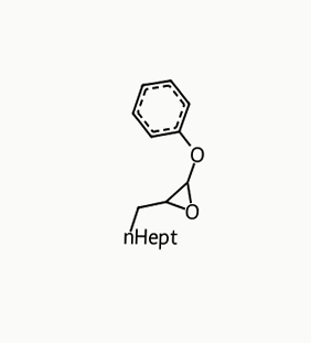 CCCCCCCCC1OC1Oc1ccccc1